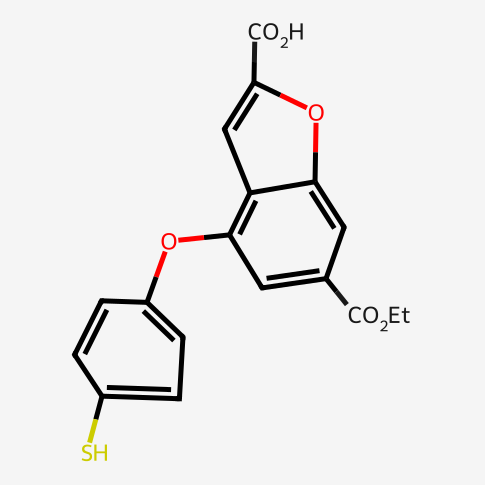 CCOC(=O)c1cc(Oc2ccc(S)cc2)c2cc(C(=O)O)oc2c1